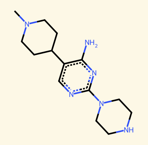 CN1CCC(c2cnc(N3CCNCC3)nc2N)CC1